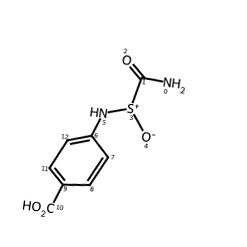 NC(=O)[S+]([O-])Nc1ccc(C(=O)O)cc1